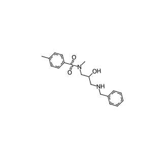 Cc1ccc(S(=O)(=O)N(C)CC(O)CNCc2ccccc2)cc1